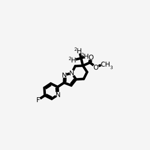 [2H]C([2H])([2H])C1(C(=O)OC)CCc2cc(-c3ccc(F)cn3)nn2C1